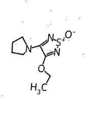 CCOc1n[s+]([O-])nc1N1CCCC1